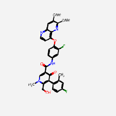 COc1cc2nccc(Oc3ccc(NC(=O)c4cn(C)c(CO)c(-c5ccc(F)cc5C)c4=O)cc3F)c2nc1OC